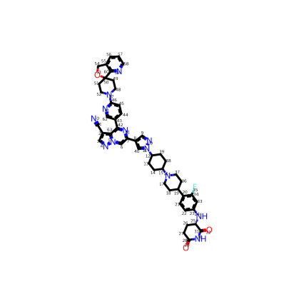 N#Cc1cnn2cc(-c3cnn(C4CCC(N5CCC(c6ccc(N[C@@H]7CCC(=O)NC7=O)cc6F)CC5)CC4)c3)nc(-c3ccc(N4CCC5(CC4)OCc4cccnc45)nc3)c12